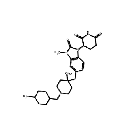 COC1(Cc2ccc3c(c2)n(C)c(=O)n3C2CCC(=O)NC2=O)CCN(CC2CCC(N)CC2)CC1